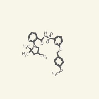 COc1ccc(COc2cccc(S(=O)(=O)NC(=O)c3cccnc3N3CC(C)CC3(C)C)n2)cc1